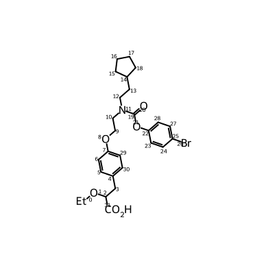 CCOC(Cc1ccc(OCCN(CCC2CCCC2)C(=O)Oc2ccc(Br)cc2)cc1)C(=O)O